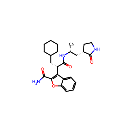 N#C[C@H](C[C@@H]1CCNC1=O)NC(=O)[C@@H](CC1CCCCC1)c1c(C(N)=O)oc2ccccc12